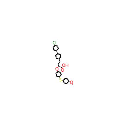 COc1ccc(Sc2ccc(OC(CCc3ccc(-c4ccc(Cl)cc4)cc3)C(=O)O)cc2)cc1